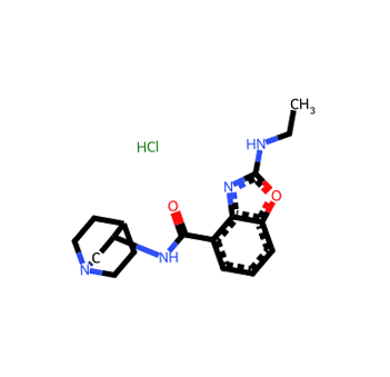 CCNc1nc2c(C(=O)NC3CN4CCC3CC4)cccc2o1.Cl